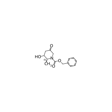 C[C@H]1C(O)CC(=O)CN1C(=O)OCc1ccccc1